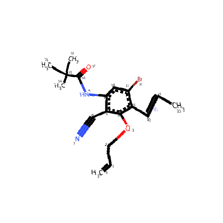 C=CCOc1c(C#N)c(NC(=O)C(C)(C)C)cc(Br)c1/C=C/C